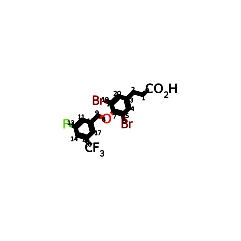 O=C(O)CCc1cc(Br)c(OCc2cc(F)cc(C(F)(F)F)c2)c(Br)c1